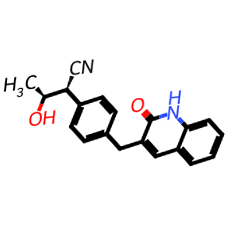 C[C@H](O)[C@@H](C#N)c1ccc(Cc2cc3ccccc3[nH]c2=O)cc1